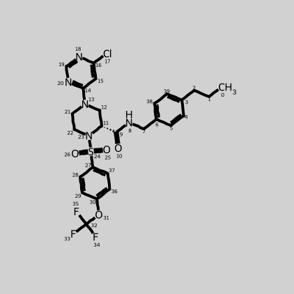 CCCc1ccc(CNC(=O)[C@H]2CN(c3cc(Cl)ncn3)CCN2S(=O)(=O)c2ccc(OC(F)(F)F)cc2)cc1